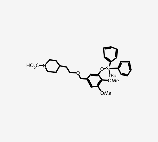 COc1cc(COCCC2CCN(C(=O)O)CC2)cc(O[Si](c2ccccc2)(c2ccccc2)C(C)(C)C)c1OC